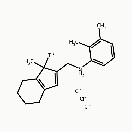 Cc1cccc([SiH2]CC2=CC3=C(CCCC3)[C]2(C)[Ti+3])c1C.[Cl-].[Cl-].[Cl-]